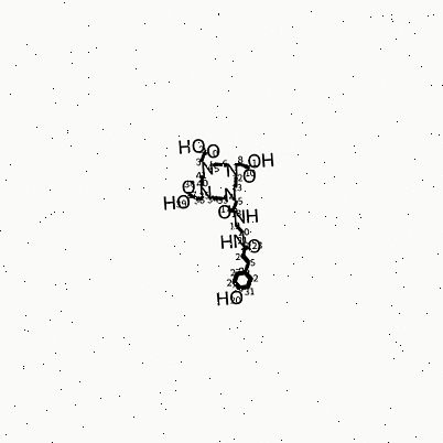 O=C(O)CN1CCN(CC(=O)O)CCN(CC(=O)NCCNC(=O)/C=C/c2ccc(O)cc2)CCN(CC(=O)O)CC1